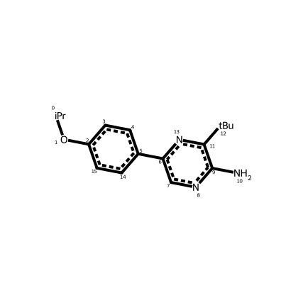 CC(C)Oc1ccc(-c2cnc(N)c(C(C)(C)C)n2)cc1